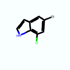 CCc1cc(Cl)c2[nH]ccc2c1